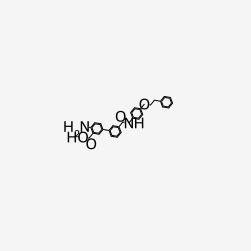 Nc1ccc(-c2cccc(C(=O)Nc3ccc(OCCc4ccccc4)cc3)c2)cc1C(=O)O